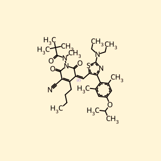 CCCCC1=C(C#N)C(=O)N(N(C)C(=O)C(C)(C)C)C(=O)/C1=C\c1sc(N(CC)CC)nc1-c1c(C)cc(OC(C)C)cc1C